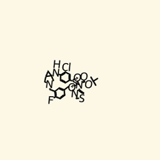 Cc1ccc(F)c(CN2CC3C[C@@]3(Nc3ccc(S(=O)(=O)N(C(=O)OC(C)(C)C)c4cscn4)cc3Cl)C2)c1